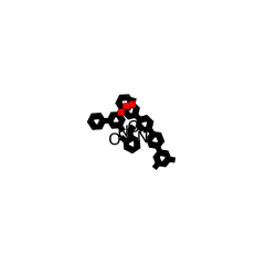 Cc1cc(C)cc(-c2ccc3c4ccc(-c5cc(C)cc(C)c5)cc4n(-c4cccc5c4C(=O)N(c4cc(-c6ccccc6)cc(-c6ccccc6)c4)C5=O)c3c2)c1